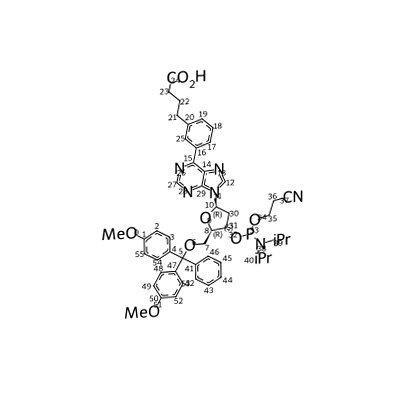 COc1ccc(C(OC[C@H]2O[C@@H](n3cnc4c(-c5cccc(CCCC(=O)O)c5)ncnc43)C[C@@H]2OP(OCCC#N)N(C(C)C)C(C)C)(c2ccccc2)c2ccc(OC)cc2)cc1